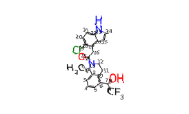 C[C@H]1c2cccc(C(O)C(F)(F)F)c2CCN1C(=O)Cc1c(Cl)ccc2[nH]ccc12